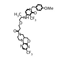 COc1ccc(Cn2ccc(N[C@@H](C)COCCC(=O)N3CCN4c5ncc(C(F)(F)F)nc5OCC4C3)c(C(F)(F)F)c2=O)cc1